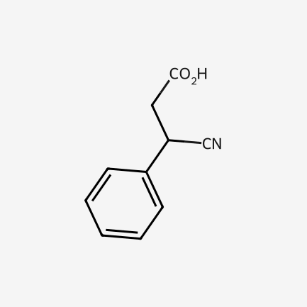 N#CC(CC(=O)O)c1ccccc1